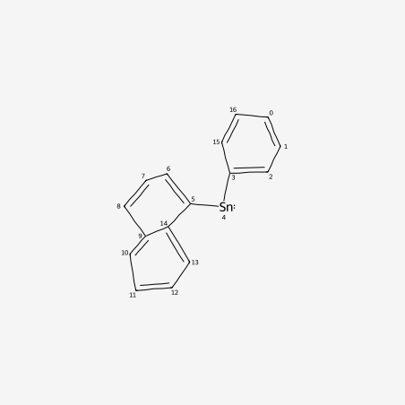 c1cc[c]([Sn][c]2cccc3ccccc23)cc1